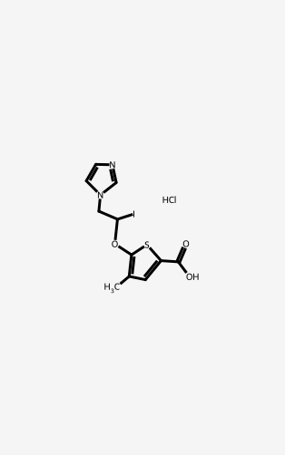 Cc1cc(C(=O)O)sc1OC(I)Cn1ccnc1.Cl